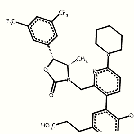 COc1ccc(CCC(=O)O)cc1-c1ccc(N2CCCCC2)nc1CN1C(=O)O[C@H](c2cc(C(F)(F)F)cc(C(F)(F)F)c2)[C@@H]1C